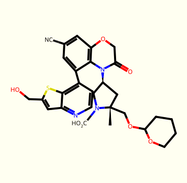 C[C@]1(COC2CCCCO2)C[C@H](N2C(=O)COc3cc(C#N)cc(-c4ccnc5cc(CO)sc45)c32)CN1C(=O)O